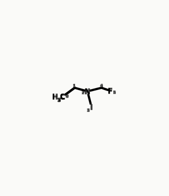 CCN(I)CF